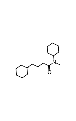 CN(C(=O)CCC[C]1CCCCC1)C1CCCCC1